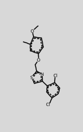 COc1ccc(OCc2nc(-c3cc(Cl)ccc3Cl)cs2)cc1C